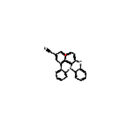 N#Cc1ccnc(-c2ccccc2N2c3ccccc3Oc3ccccc32)c1